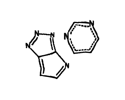 C1=NC2=NN=NC2=C1.c1cncnc1